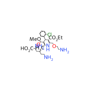 CCOC(=O)C1=C(COCCN)NC(C)=C(C(=O)OC)C1c1ccccc1Cl.NCCCCC(N)C(=O)O